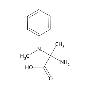 CN(c1ccccc1)C(C)(N)C(=O)O